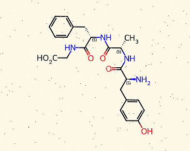 C[C@H](NC(=O)[C@@H](N)Cc1ccc(O)cc1)C(=O)N[C@@H](Cc1ccccc1)C(=O)NCC(=O)O